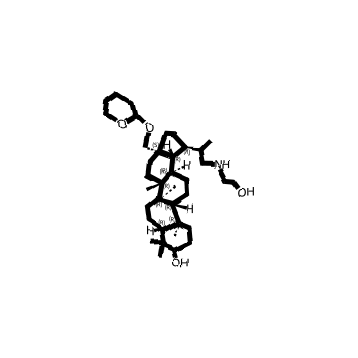 CC(CNCCO)[C@@H]1CC[C@]2(COC3CCCCO3)CC[C@]3(C)[C@H](CC[C@@H]4[C@@]5(C)CCC(O)C(C)(C)[C@@H]5CC[C@]43C)[C@@H]12